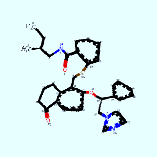 CC[C@H](C)CNC(=O)c1ccccc1SCc1c(O[C@H](Cn2ccnc2)c2ccccc2)ccc2c1CCCC2=O